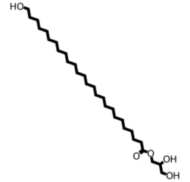 O=C(CCCCCCCCCCCCCCCCCCCCCCCCCO)OCC(O)CO